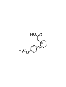 COc1ccc([C@@H]2CCCC[C@@H]2CC(=O)O)cc1